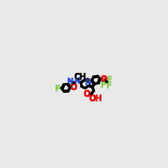 CN(c1nc2cc(F)ccc2o1)C1CCc2c(CC(=O)O)c3cc(OC(F)(F)F)ccc3n2C1